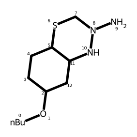 CCCCOC1CCC2SCN(N)NC2C1